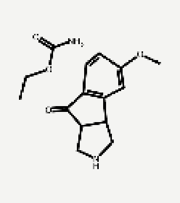 CCOC(N)=O.COc1ccc2c(c1)C1CNCC1C2=O